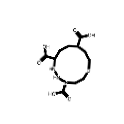 O=C(O)C1CCOCCN(C(=O)O)NNC(C(=O)O)CC1